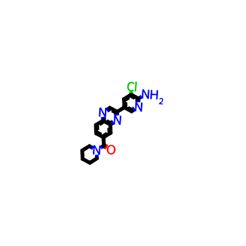 Nc1ncc(-c2cnc3ccc(C(=O)N4CCCCC4)cc3n2)cc1Cl